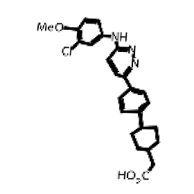 COc1ccc(Nc2ccc(-c3ccc(C4CCC(CC(=O)O)CC4)cc3)nn2)cc1Cl